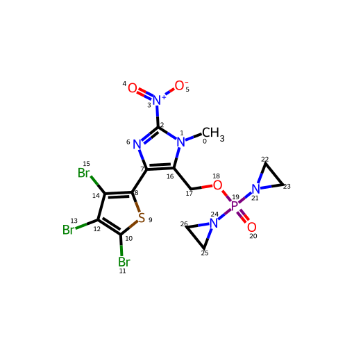 Cn1c([N+](=O)[O-])nc(-c2sc(Br)c(Br)c2Br)c1COP(=O)(N1CC1)N1CC1